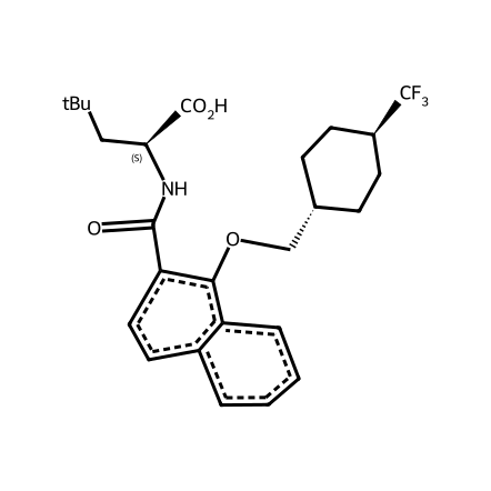 CC(C)(C)C[C@H](NC(=O)c1ccc2ccccc2c1OC[C@H]1CC[C@H](C(F)(F)F)CC1)C(=O)O